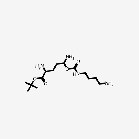 CC(C)(C)OC(=O)C(N)CCC(N)OC(=O)NCCCCN